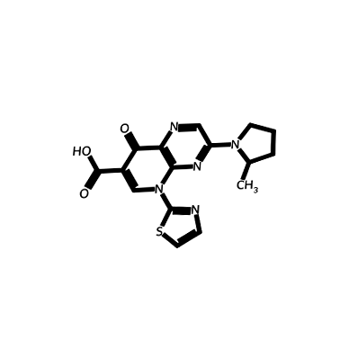 CC1CCCN1c1cnc2c(=O)c(C(=O)O)cn(-c3nccs3)c2n1